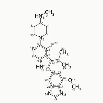 CNC1CCN(c2ncc3[nH]c(-c4cc(OC)c5ncnn5c4)c(C(C)C)c3c2F)CC1